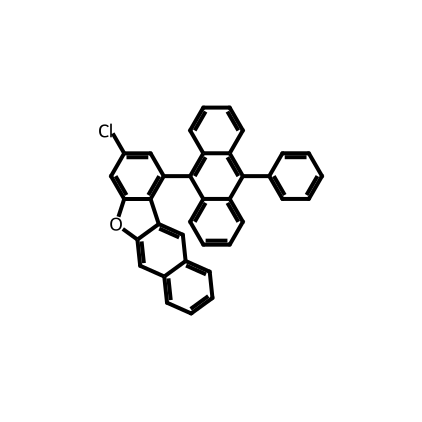 Clc1cc(-c2c3ccccc3c(-c3ccccc3)c3ccccc23)c2c(c1)oc1cc3ccccc3cc12